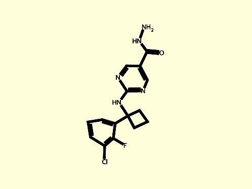 NNC(=O)c1cnc(NC2(c3cccc(Cl)c3F)CCC2)nc1